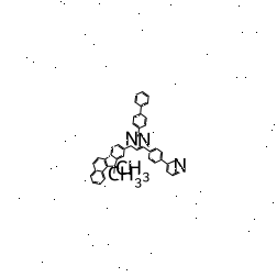 CC1(C)c2cc(-c3cc(-c4ccc(-c5cccnc5)cc4)nc(-c4ccc(-c5ccccc5)cc4)n3)ccc2-c2ccc3ccccc3c21